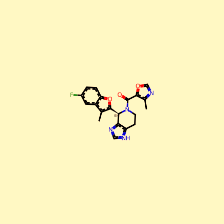 Cc1ncoc1C(=O)N1CCc2[nH]cnc2[C@H]1c1oc2ccc(F)cc2c1C